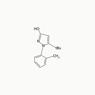 Cc1ccccc1-n1nc(O)cc1C(C)(C)C